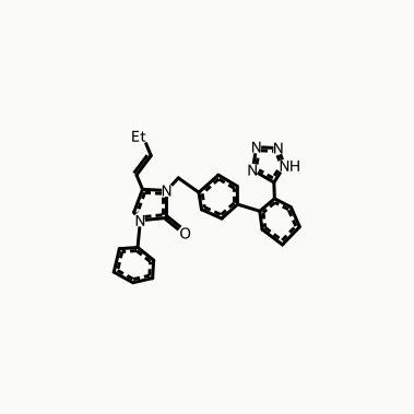 CCC=Cc1cn(-c2ccccc2)c(=O)n1Cc1ccc(-c2ccccc2-c2nnn[nH]2)cc1